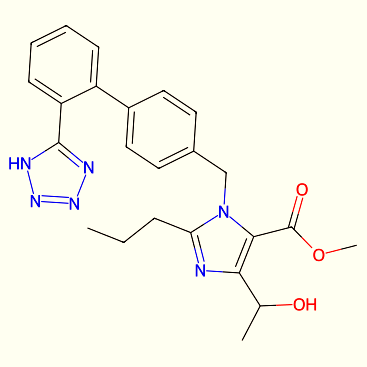 CCCc1nc(C(C)O)c(C(=O)OC)n1Cc1ccc(-c2ccccc2-c2nnn[nH]2)cc1